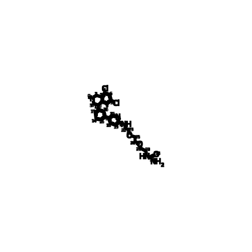 CN1Cc2c(Cl)cc(Cl)cc2[C@H](c2cccc(-c3ccc(NCCOCCOCCNC(N)=O)nc3)c2)C1